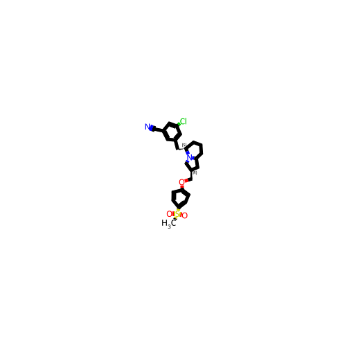 CS(=O)(=O)c1ccc(OC[C@@H]2CC3CCC[C@@H](Cc4cc(Cl)cc(C#N)c4)N3C2)cc1